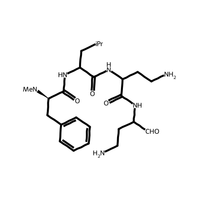 CN[C@H](Cc1ccccc1)C(=O)NC(CC(C)C)C(=O)NC(CCN)C(=O)NC(C=O)CCN